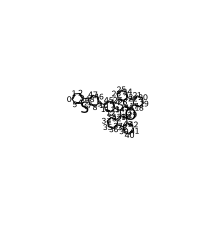 c1ccc2c(c1)sc1cc(-c3ccc(C4c5c(c6ccccc6c6ccccc56)Oc5c4c4ccccc4c4ccccc54)cc3)ccc12